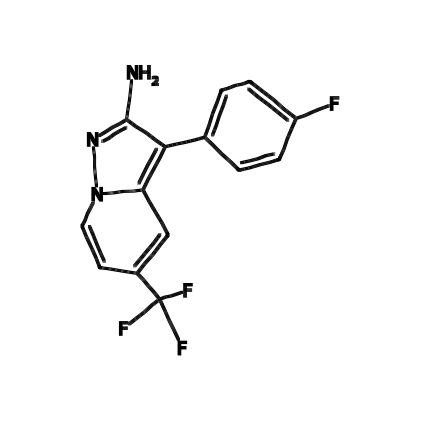 Nc1nn2ccc(C(F)(F)F)cc2c1-c1ccc(F)cc1